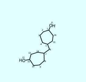 OC1CCCC(CC2CCCC(O)CC2)CC1